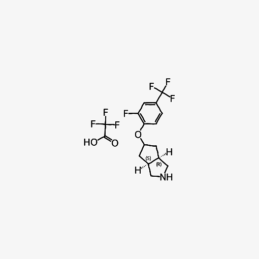 Fc1cc(C(F)(F)F)ccc1OC1C[C@H]2CNC[C@H]2C1.O=C(O)C(F)(F)F